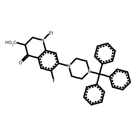 CCN1CC(C(=O)O)C(=O)c2cc(F)c(N3CCN(C(c4ccccc4)(c4ccccc4)c4ccccc4)CC3)cc21